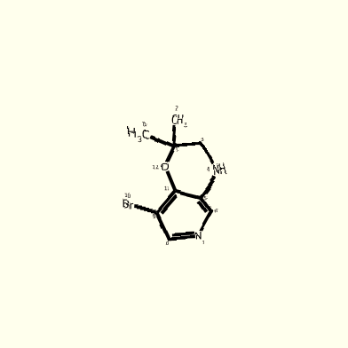 CC1(C)CNc2cncc(Br)c2O1